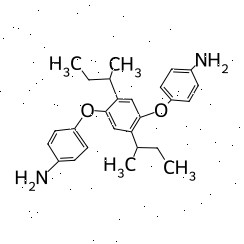 CCC(C)c1cc(Oc2ccc(N)cc2)c(C(C)CC)cc1Oc1ccc(N)cc1